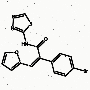 O=C(Nc1nncs1)/C(=C\c1ccco1)c1ccc(Br)cc1